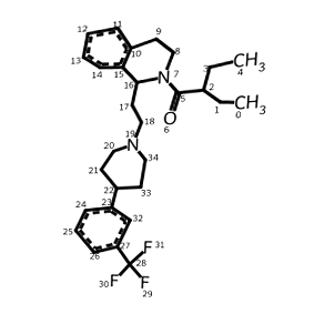 CCC(CC)C(=O)N1CCc2ccccc2C1CCN1CCC(c2cccc(C(F)(F)F)c2)CC1